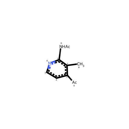 [CH2]C(=O)c1ccnc(NC(C)=O)c1C